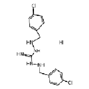 I.N=C(NNCc1ccc(Cl)cc1)NNCc1ccc(Cl)cc1